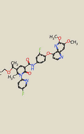 C=C(OCC)c1cc(C(=O)Nc2ccc(Oc3ccnc4cc(OC)c(OC)nc34)c(F)c2)c(=O)n(-c2ccc(F)cn2)c1C